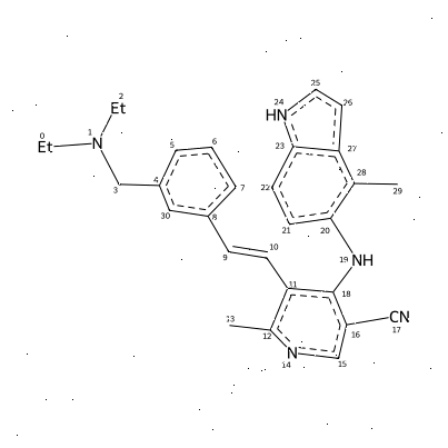 CCN(CC)Cc1cccc(C=Cc2c(C)ncc(C#N)c2Nc2ccc3[nH]ccc3c2C)c1